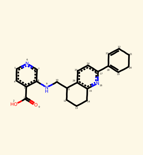 O=C(O)c1ccncc1NCC1CCCc2nc(C3=CCCC=C3)ccc21